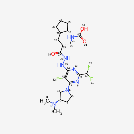 CN(C)[C@@H]1CCN(c2nc(C(F)F)nc(NNC(=O)[C@@H](CNC(=O)O)CC3CCCC3)c2F)C1